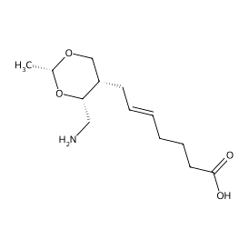 C[C@@H]1OC[C@H](CC=CCCCC(=O)O)[C@H](CN)O1